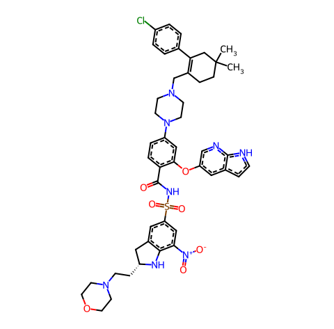 CC1(C)CCC(CN2CCN(c3ccc(C(=O)NS(=O)(=O)c4cc5c(c([N+](=O)[O-])c4)N[C@H](CCN4CCOCC4)C5)c(Oc4cnc5[nH]ccc5c4)c3)CC2)=C(c2ccc(Cl)cc2)C1